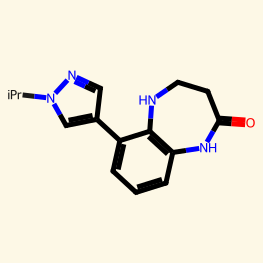 CC(C)n1cc(-c2cccc3c2NCCC(=O)N3)cn1